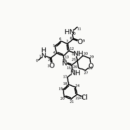 CNC(=O)c1ccc(C(=O)NC)c2c1N=C(NCc1cccc(Cl)c1)C1(CCOCC1)N2